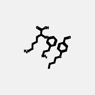 CCCCOc1ccc(C=O)cc1.NCCCCC(N)C(=O)O.NCCc1ccccc1